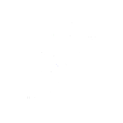 O=C(O)c1ccc(N2C(=O)c3cc(C(=O)O)c(Cl)c(Cl)c3C2=O)cc1